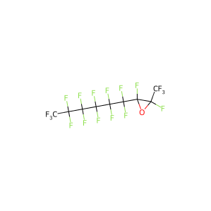 FC(F)(F)C(F)(F)C(F)(F)C(F)(F)C(F)(F)C(F)(F)C1(F)OC1(F)C(F)(F)F